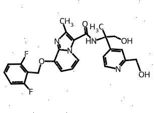 Cc1nc2c(OCc3c(F)cccc3F)cccn2c1C(=O)NC(C)(CO)c1ccnc(CO)c1